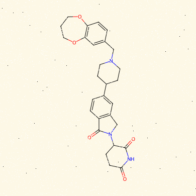 O=C1CCC(N2Cc3cc(C4CCN(Cc5ccc6c(c5)OCCCO6)CC4)ccc3C2=O)C(=O)N1